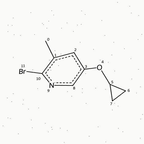 Cc1cc(OC2CC2)cnc1Br